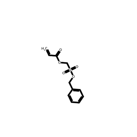 C=CC(=O)OCS(=O)(=O)OCc1ccccc1